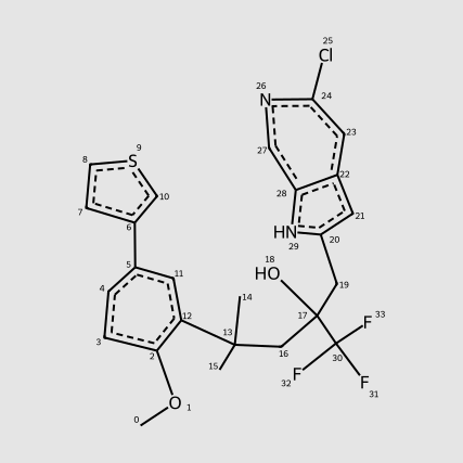 COc1ccc(-c2ccsc2)cc1C(C)(C)CC(O)(Cc1cc2cc(Cl)ncc2[nH]1)C(F)(F)F